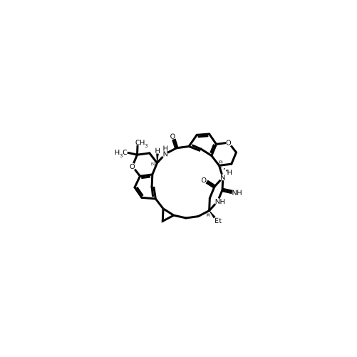 CC[C@]12CCC3CC3c3ccc4c(c3)[C@H](CC(C)(C)O4)NC(=O)c3ccc4c(c3)[C@@H](CCO4)N(C(=N)N1)C(=O)C2